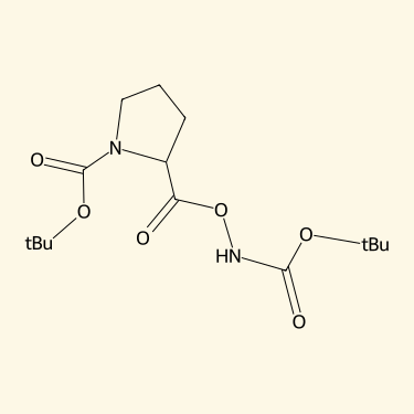 CC(C)(C)OC(=O)NOC(=O)C1CCCN1C(=O)OC(C)(C)C